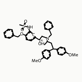 COc1ccc(C(CC(C)N(Cc2ccccc2)C[C@H](O)c2ccc(OCc3ccccc3)c(NS(C)(=O)=O)c2)c2ccc(OC)cc2)cc1